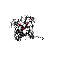 CC(=O)N[C@H]1[C@H](O[C@@H]2c3ccc(c(Cl)c3)Oc3cc4cc(c3O[C@@H]3O[C@H](CO)[C@@H](O)[C@H](O)[C@H]3NC(=O)CCCCCCCC(C)C)Oc3ccc(cc3Cl)C[C@H]3NC(=O)[C@H](N)c5ccc(O)c(c5)Oc5cc(O)cc(c5)[C@H](CC3=O)C(=O)N[C@H]4C(=O)C[C@H]3C(=O)N[C@@H]2C(=O)N[C@@H](OC=O)c2cc(O)cc(O[C@H]4O[C@H](CO)[C@@H](O)[C@H](O)[C@@H]4O)c2-c2cc3ccc2O)O[C@H](CO)[C@@H](O)[C@@H]1O